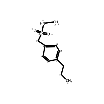 CCCc1ccc(CS(=O)(=O)NC)cc1